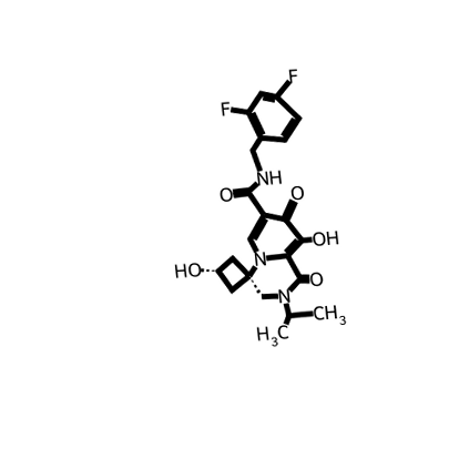 CC(C)N1C[C@]2(C[C@@H](O)C2)n2cc(C(=O)NCc3ccc(F)cc3F)c(=O)c(O)c2C1=O